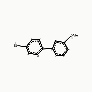 CCc1ccc(-c2cccc(SC)c2)cc1